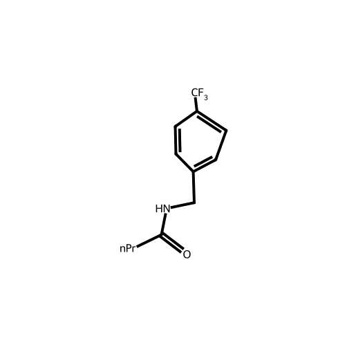 CCCC(=O)NCc1ccc(C(F)(F)F)cc1